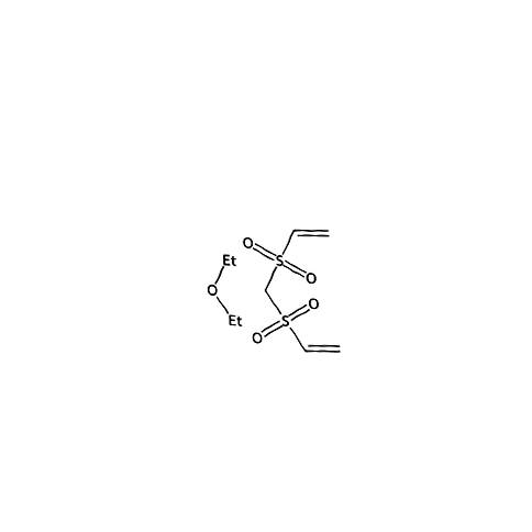 C=CS(=O)(=O)CS(=O)(=O)C=C.CCOCC